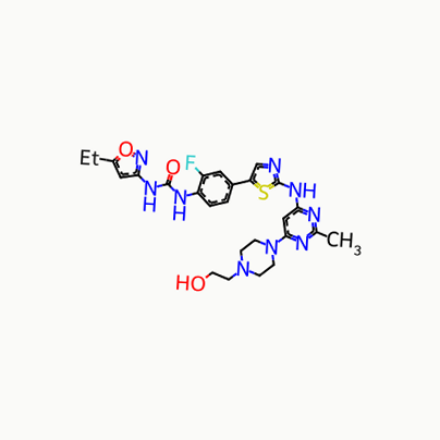 CCc1cc(NC(=O)Nc2ccc(-c3cnc(Nc4cc(N5CCN(CCO)CC5)nc(C)n4)s3)cc2F)no1